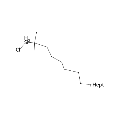 CCCCCCCCCCCCCC(C)(C)[SiH2]Cl